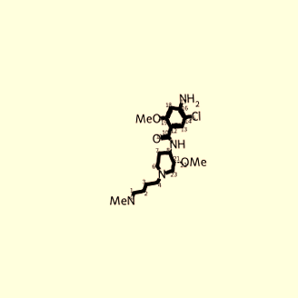 CNCCCCN1CC[C@H](NC(=O)c2cc(Cl)c(N)cc2OC)[C@H](OC)C1